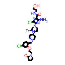 CC[C@H]1CN(c2nc(N)c(C(=O)NCCO)nc2Cl)CCN1C1CCN(Cc2ccc(Cl)cc2OCCN2CCCC2=O)CC1